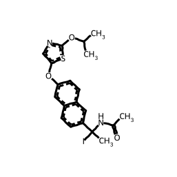 CC(=O)NC(C)(I)c1ccc2cc(Oc3cnc(OC(C)C)s3)ccc2c1